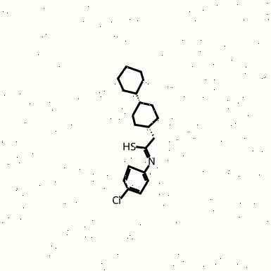 SC(C[C@H]1CC[C@@H](C2CCCCC2)CC1)=Nc1ccc(Cl)cc1